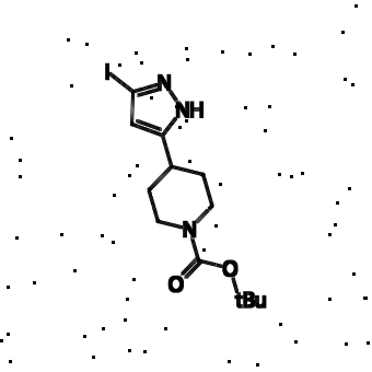 CC(C)(C)OC(=O)N1CCC(c2cc(I)n[nH]2)CC1